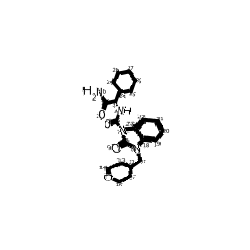 NC(=O)[C@@H](NC(=O)n1c(=O)n(CC2CCOCC2)c2ccccc21)C1CCCCC1